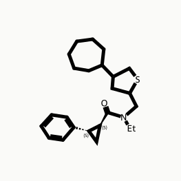 CCN(CC1CC(C2CCCCCC2)CS1)C(=O)[C@H]1C[C@@H]1c1ccccc1